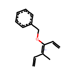 C=C/C(C)=C(/C=C)OCc1ccccc1